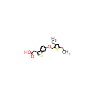 CCc1cc(C)c(COc2ccc3c(CC(=O)O)csc3c2)s1